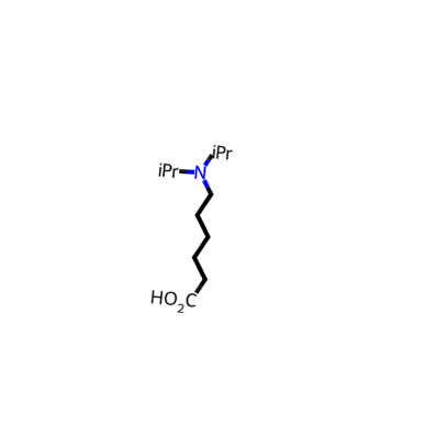 CC(C)N(CCCCCC(=O)O)C(C)C